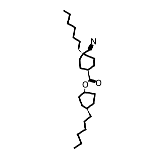 CCCCCCC[C@]1(C#N)CC[C@@H](C(=O)O[C@H]2CC[C@H](CCCCCC)CC2)CC1